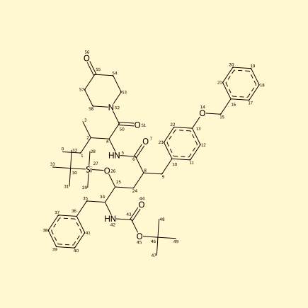 CCC(C)C(NC(=O)C(Cc1ccc(OCc2ccccc2)cc1)CC(O[Si](C)(C)C(C)(C)C)C(Cc1ccccc1)NC(=O)OC(C)(C)C)C(=O)N1CCC(=O)CC1